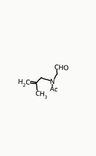 C=C(C)CN(CC=O)C(C)=O